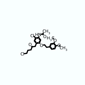 COc1ccc(CCOc2cc(NC(C)=O)c(Cl)cc2CC(=O)CCCCl)cc1OC